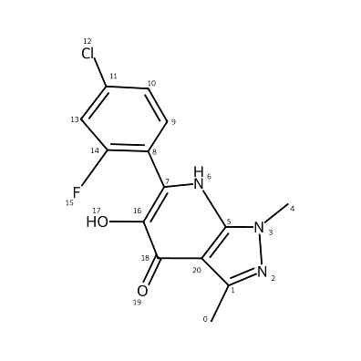 Cc1nn(C)c2[nH]c(-c3ccc(Cl)cc3F)c(O)c(=O)c12